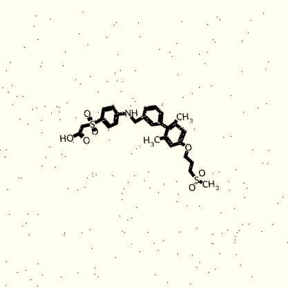 Cc1cc(OCCCS(C)(=O)=O)cc(C)c1-c1cccc(CNc2ccc(S(=O)(=O)CC(=O)O)cc2)c1